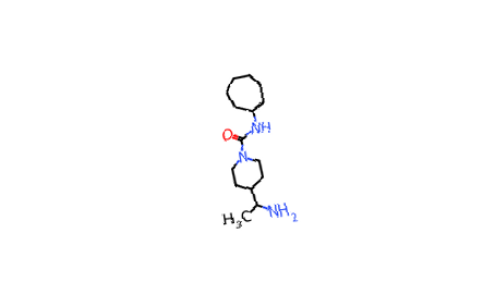 CC(N)C1CCN(C(=O)NC2CCCCCC2)CC1